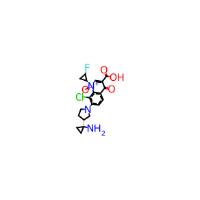 NC1([C@@H]2CCN(c3ccc4c(c3Cl)[N+]([O-])([C@@H]3C[C@H]3F)C=C(C(=O)O)C4=O)C2)CC1